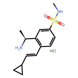 CNS(=O)(=O)c1ccc(/C=C/C2CC2)c([C@H](C)N)c1.Cl